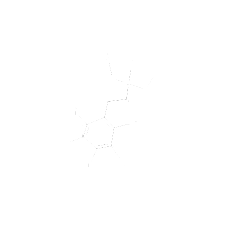 CO[Si](O)(CCc1c(F)c(F)c(F)c(F)c1F)OC